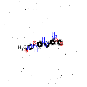 CC(=O)N1CCN(C(=O)Nc2ccc(Nc3nccc(-c4ccc(OC5CCOCC5)c(N)c4)n3)cc2)CC1